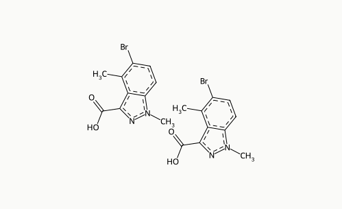 Cc1c(Br)ccc2c1c(C(=O)O)nn2C.Cc1c(Br)ccc2c1c(C(=O)O)nn2C